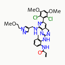 C=CC(=O)Nc1cccc(C)c1Nc1ncc2cc(-c3c(Cl)c(OC)cc(OC)c3Cl)nc(NCc3cnn(CCOC)c3)c2n1